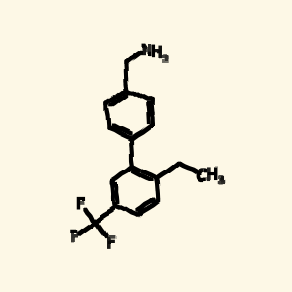 CCc1ccc(C(F)(F)F)cc1-c1ccc(CN)cc1